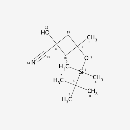 CC1(O[Si](C)(C)C(C)(C)C)CC(O)(C#N)C1